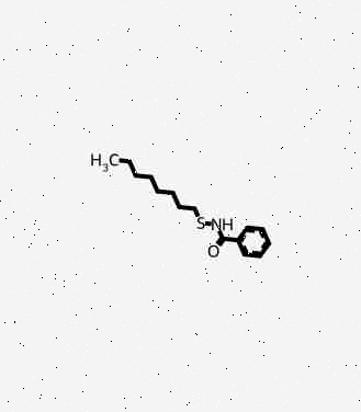 CCCCCCCCSNC(=O)c1ccccc1